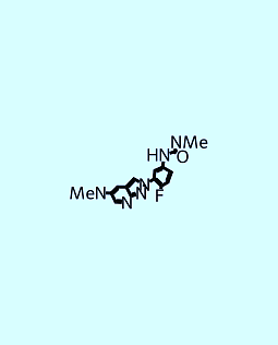 CNC(=O)Nc1ccc(F)c(-n2cc3cc(NC)cnc3n2)c1